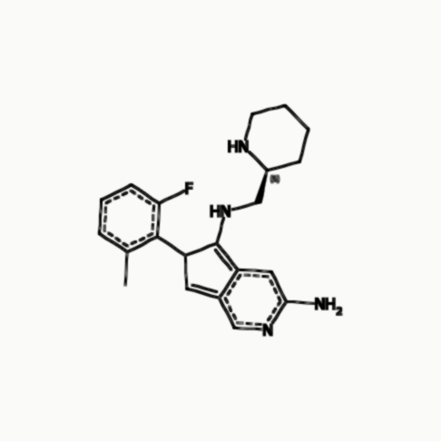 Cc1cccc(F)c1C1C=c2cnc(N)cc2=C1NC[C@@H]1CCCCN1